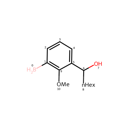 Bc1cccc(C(O)CCCCCC)c1OC